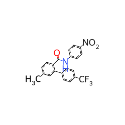 Cc1ccc(C(=O)Nc2ccc([N+](=O)[O-])cc2)c(-c2ccc(C(F)(F)F)cc2)c1